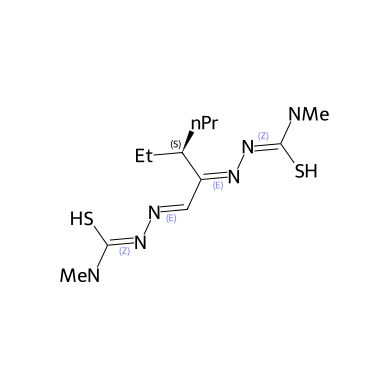 CCC[C@H](CC)C(/C=N/N=C(\S)NC)=N\N=C(/S)NC